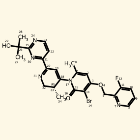 Cc1cc(OCc2ncccc2F)c(Br)c(=O)n1C1=CC(c2ccnc(C(C)(C)O)n2)=NC[C@H]1C